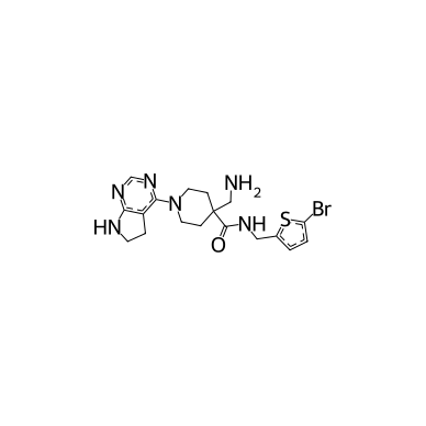 NCC1(C(=O)NCc2ccc(Br)s2)CCN(c2ncnc3c2CCN3)CC1